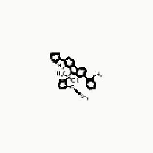 C=CCOc1ccccc1[Si](C)(C)C1c2cc(-c3ccccc3C)ccc2-c2ccc(-c3ccccc3C)cc21